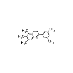 Cc1cc(C)cc(-c2ccc3c(C)c(C)c(C)cc3n2)c1